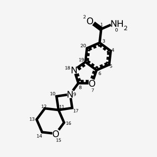 NC(=O)c1ccc2oc(N3CC4(CCCOC4)C3)nc2c1